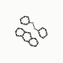 c1ccc(SSc2ccccc2)cc1.c1ccc2cc3ccccc3cc2c1